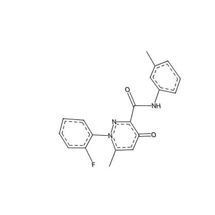 Cc1cccc(NC(=O)c2nn(-c3ccccc3F)c(C)cc2=O)c1